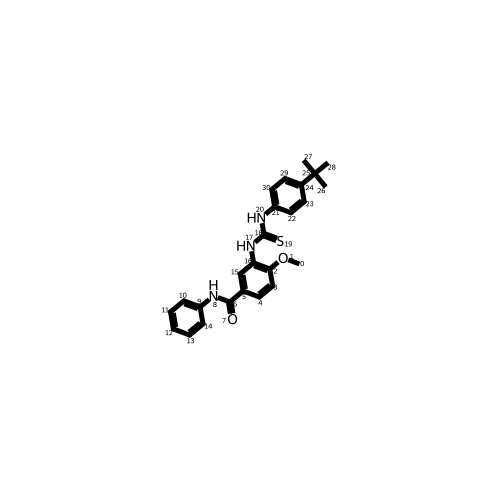 COc1ccc(C(=O)Nc2ccccc2)cc1NC(=S)Nc1ccc(C(C)(C)C)cc1